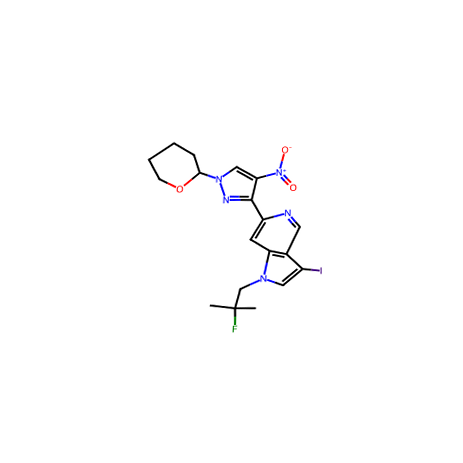 CC(C)(F)Cn1cc(I)c2cnc(-c3nn(C4CCCCO4)cc3[N+](=O)[O-])cc21